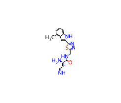 Cc1cccc2[nH]c(-c3nnc(CNC(=O)/C(N)=C/C=N)s3)cc12